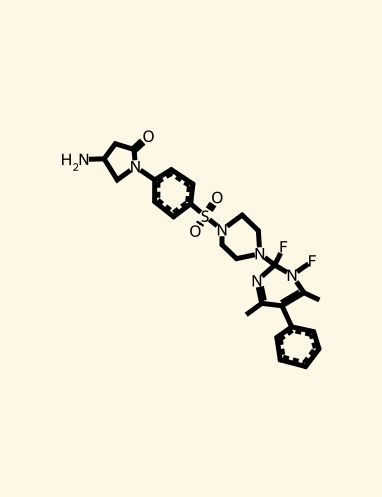 CC1=NC(F)(N2CCN(S(=O)(=O)c3ccc(N4CC(N)CC4=O)cc3)CC2)N(F)C(C)=C1c1ccccc1